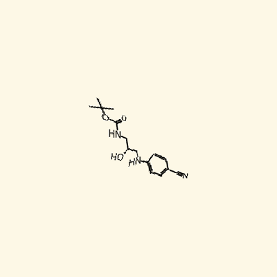 CC(C)(C)OC(=O)NC[C@H](O)CNc1ccc(C#N)cc1